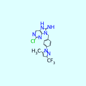 Cc1cc(C(F)(F)F)nn1-c1ccc(Cn2c(=N)[nH]c3cnc(Cl)nc32)cc1